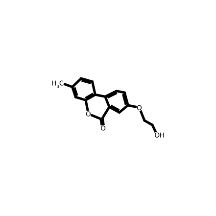 Cc1ccc2c(c1)oc(=O)c1cc(OCCO)ccc12